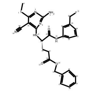 CSc1nc(N)nc(N[C@@H](CCC(=O)OCc2ccccc2)C(=O)Nc2cccc(CF)c2)c1C#N